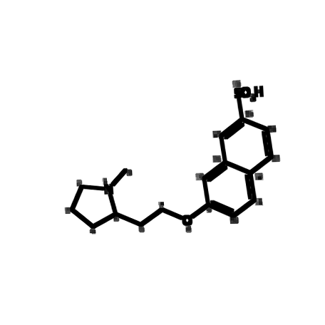 CN1CCCC1CCOc1ccc2ccc(S(=O)(=O)O)cc2c1